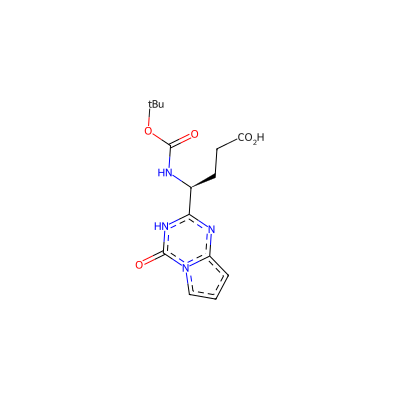 CC(C)(C)OC(=O)N[C@@H](CCC(=O)O)c1nc2cccn2c(=O)[nH]1